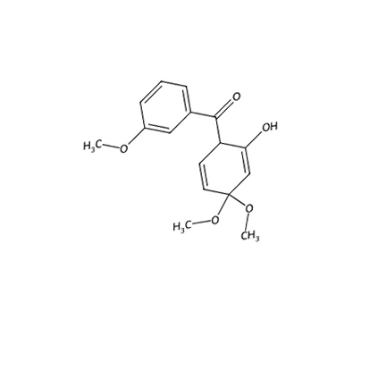 COc1cccc(C(=O)C2C=CC(OC)(OC)C=C2O)c1